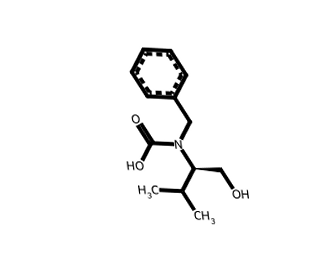 CC(C)[C@H](CO)N(Cc1ccccc1)C(=O)O